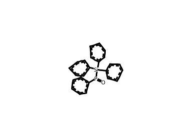 O=[P](c1ccccc1)[Si](c1ccccc1)(c1ccccc1)c1ccccc1